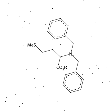 CSCCC(C(=O)O)N(Cc1ccccc1)Cc1ccccc1